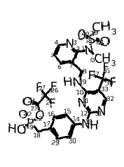 CN(c1ncccc1CNc1nc(Nc2ccc(CP(=O)(O)OC(=O)C(F)(F)F)cc2)ncc1C(F)(F)F)S(C)(=O)=O